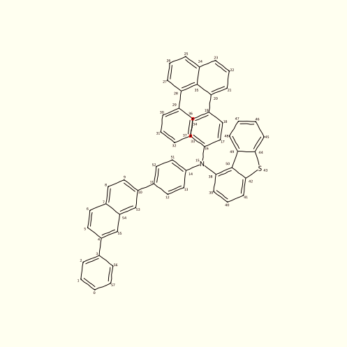 c1ccc(-c2ccc3ccc(-c4ccc(N(c5ccc(-c6cccc7cccc(-c8ccccc8)c67)cc5)c5cccc6sc7ccccc7c56)cc4)cc3c2)cc1